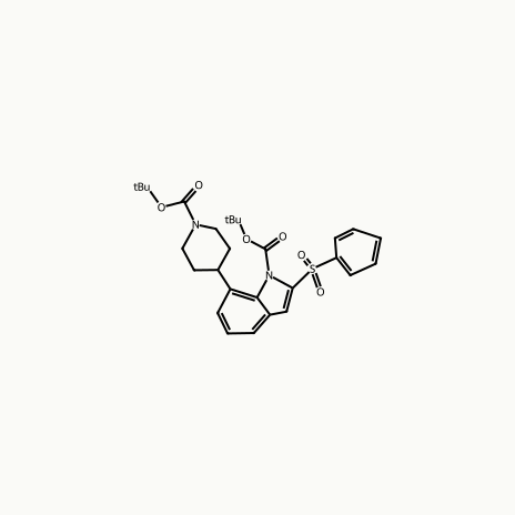 CC(C)(C)OC(=O)N1CCC(c2cccc3cc(S(=O)(=O)c4ccccc4)n(C(=O)OC(C)(C)C)c23)CC1